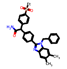 CCS(=O)(=O)c1ccc(C(C(N)=O)c2ccc(-c3nc4cc(C)c(C)cc4n3Cc3ccccc3)cc2)cc1